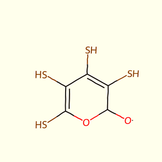 [O]C1OC(S)=C(S)C(S)=C1S